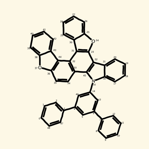 c1ccc(-c2cc(-c3ccccc3)cc(-n3c4ccccc4c4c5oc6ccccc6c5c5c(ccc6oc7ccccc7c65)c43)c2)cc1